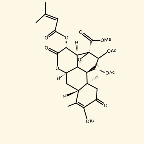 COC(=O)[C@@]12OC[C@]34[C@H]([C@@H](OC(C)=O)C1OC(C)=O)[C@@]1(C)CC(=O)C(OC(C)=O)=C(C)[C@@H]1C[C@H]3OC(=O)[C@H](OC(=O)C=C(C)C)[C@H]42